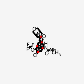 CNC(=O)Nc1cc(Cl)c(OC(F)(F)F)cc1C=CC(=O)N1C2COCC1CN(Cc1ccc(F)cc1)C2